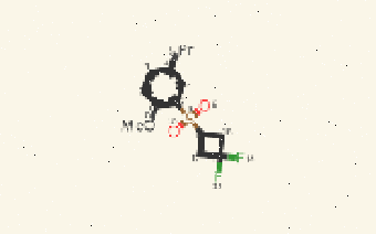 COc1ccc(C(C)C)cc1S(=O)(=O)C1CC(F)(F)C1